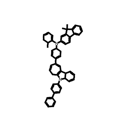 CC1CC=CC=C1N(c1ccc2c(c1)C(C)(C)c1ccccc1-2)C1C=CC(C2=CC3=C(CC=C2)N(c2ccc(-c4ccccc4)cc2)C2C=CC=CC32)=CC1